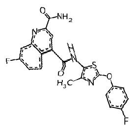 Cc1nc(Oc2ccc(F)cc2)sc1NC(=O)c1cc(C(N)=O)nc2cc(F)ccc12